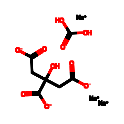 O=C(O)O.O=C([O-])CC(O)(CC(=O)[O-])C(=O)[O-].[Na+].[Na+].[Na+]